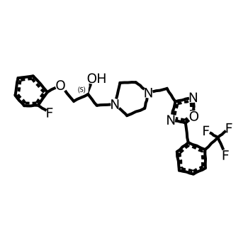 O[C@H](COc1ccccc1F)CN1CCN(Cc2noc(-c3ccccc3C(F)(F)F)n2)CC1